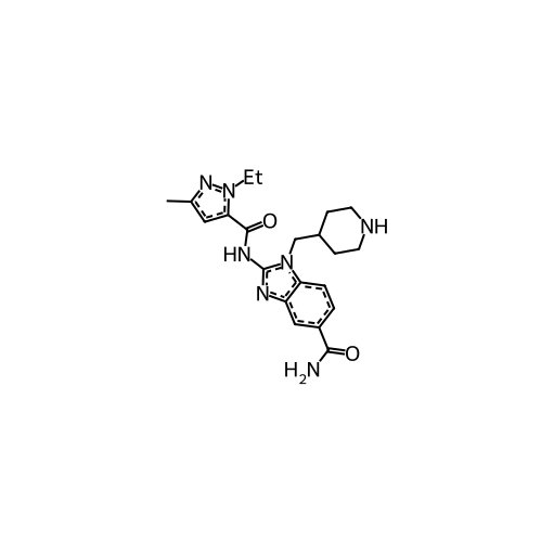 CCn1nc(C)cc1C(=O)Nc1nc2cc(C(N)=O)ccc2n1CC1CCNCC1